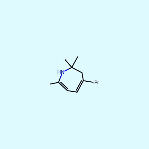 CC1=CC=C(C(C)C)CC(C)(C)N1